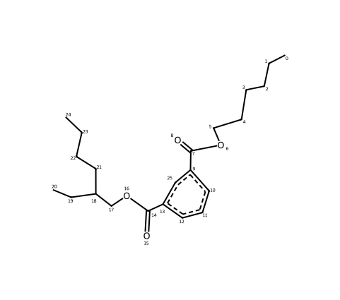 CCCCCCOC(=O)c1cccc(C(=O)OCC(CC)CCCC)c1